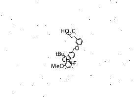 C=C(c1cc(COc2cccc([C@@H](CC(=O)O)CC3CC3)c2)ccc1-c1cc(OC)ccc1F)C(C)(C)C